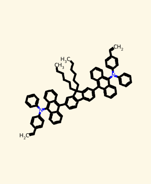 C=Cc1ccc(N(c2ccccc2)c2c3ccccc3c(-c3ccc4c(c3)C(CCCCCC)(CCCCCC)c3cc(-c5c6ccccc6c(N(c6ccccc6)c6ccc(C=C)cc6)c6ccccc56)ccc3-4)c3ccccc23)cc1